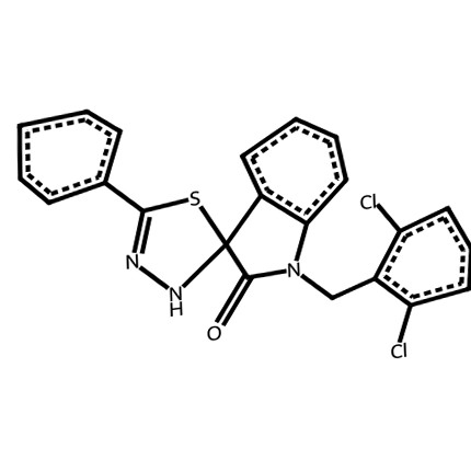 O=C1N(Cc2c(Cl)cccc2Cl)c2ccccc2C12NN=C(c1ccccc1)S2